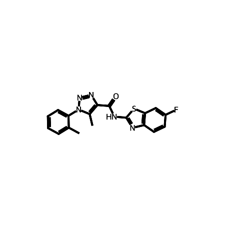 Cc1ccccc1-n1nnc(C(=O)Nc2nc3ccc(F)cc3s2)c1C